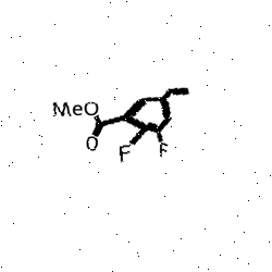 C=Cc1cc(F)c(F)c(C(=O)OC)c1